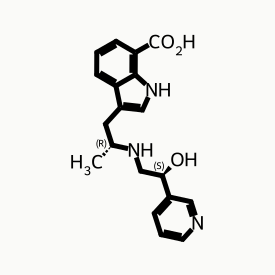 C[C@H](Cc1c[nH]c2c(C(=O)O)cccc12)NC[C@@H](O)c1cccnc1